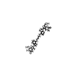 O=[PH](S)OC1[C@@H](F)[C@H](n2cnc3c(CC/C=C/CCc4ncnc5c4ncn5[C@@H]4OC(CO)[C@@H](O[PH](=O)S)[C@H]4F)ncnc32)O[C@@H]1CO